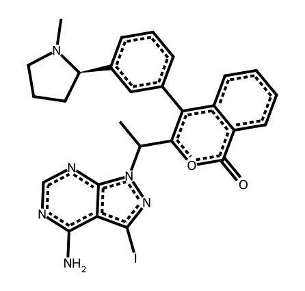 CC(c1oc(=O)c2ccccc2c1-c1cccc([C@H]2CCCN2C)c1)n1nc(I)c2c(N)ncnc21